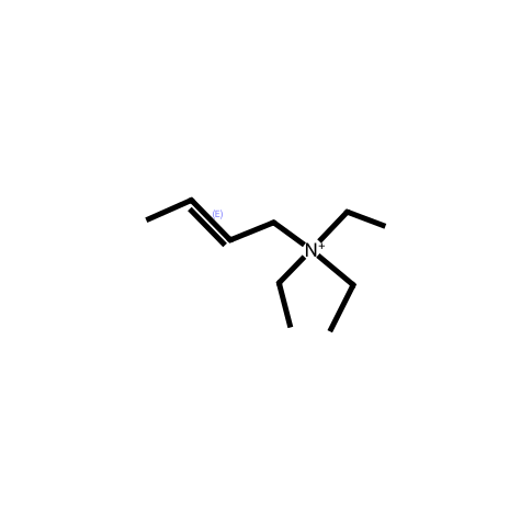 C/C=C/C[N+](CC)(CC)CC